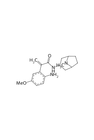 C=C(C(=O)NC1CC2CCC(C1)N2C)c1cc(OC)ccc1N